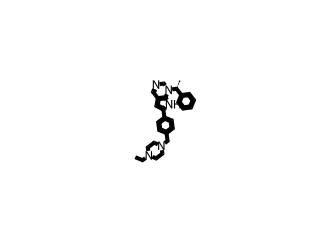 CCN1CCN(Cc2ccc(-c3cc4c([nH]3)N([C@H](C)c3ccccc3)CN=C4)cc2)CC1